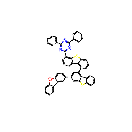 c1ccc(-c2nc(-c3ccccc3)nc(-c3cccc4c3sc3cccc(-c5cc(-c6ccc7oc8ccccc8c7c6)cc6sc7ccccc7c56)c34)n2)cc1